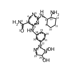 NC(=O)c1cnc(N[C@@H]2CCCC[C@@H]2N)nc1Nc1cccc(N2N=CC(O)N2O)c1